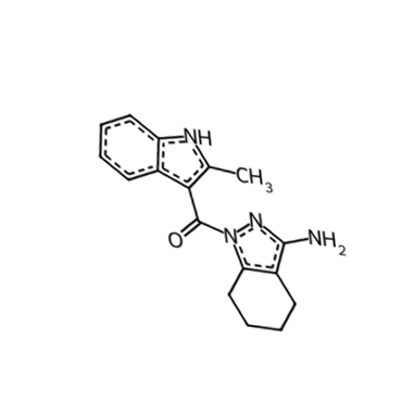 Cc1[nH]c2ccccc2c1C(=O)n1nc(N)c2c1CCCC2